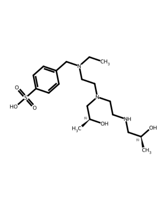 CCN(CCN(CCNC[C@H](C)O)C[C@H](C)O)Cc1ccc(S(=O)(=O)O)cc1